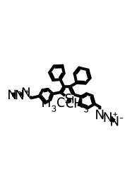 C[Si]1(C)C(c2ccc(CN=[N+]=[N-])cc2)=C(c2ccccc2)C(c2ccccc2)=C1c1ccc(CN=[N+]=[N-])cc1